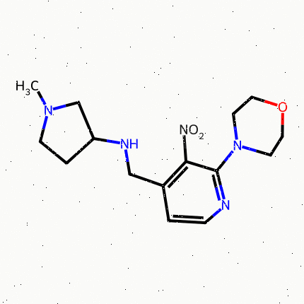 CN1CCC(NCc2ccnc(N3CCOCC3)c2[N+](=O)[O-])C1